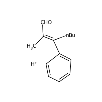 CCCCC(=C(C)C=O)c1ccccc1.[H+]